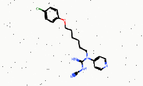 N#CNC(=N)N(CCCCCCOc1ccc(Cl)cc1)c1ccncc1